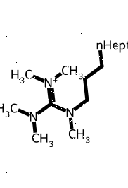 CCCCCCCCCCN(C)C(N(C)C)=[N+](C)C